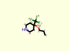 CCCOC1(C(F)(F)F)CCNCC1